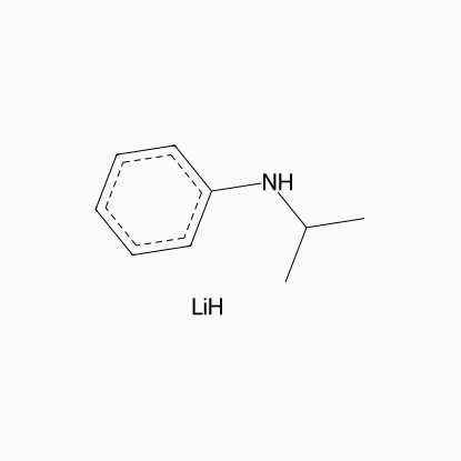 CC(C)Nc1ccccc1.[LiH]